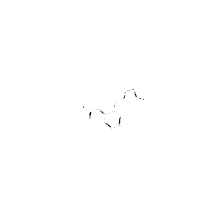 Cc1cc/c(=N\C(=O)C(F)(F)F)n(Cc2ccc(Cl)s2)c1